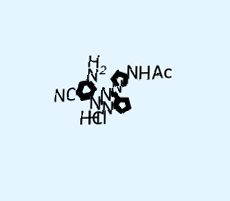 CC(=O)N[C@H]1CCN(c2nc(Nc3cc(N)cc(C#N)c3)nc3c2CCC3)C1.Cl